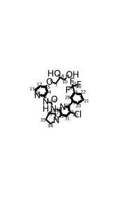 O=C(Nc1cc(OCC(O)CO)ccn1)N1c2nc(-c3cccc(C(F)(F)F)c3)c(Cl)cc2N2CCC1C2